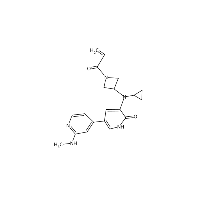 C=CC(=O)N1CC(N(c2cc(-c3ccnc(NC)c3)c[nH]c2=O)C2CC2)C1